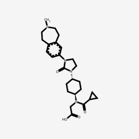 CN1CCc2ccc(N3CCN([C@H]4CC[C@H](N(CC(=O)O)C(=O)C5CC5)CC4)C3=O)cc2CC1